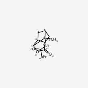 CCCC(=O)OC1(C)C2CC3C(=O)OC1C3C2